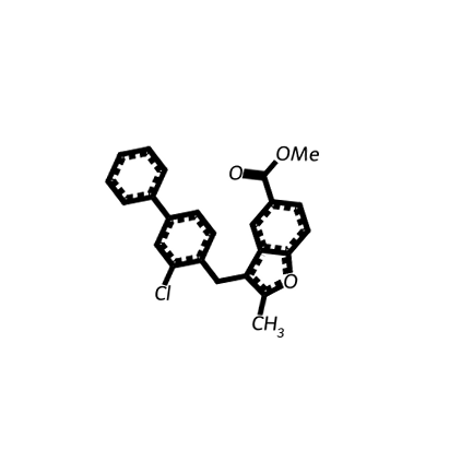 COC(=O)c1ccc2oc(C)c(Cc3ccc(-c4ccccc4)cc3Cl)c2c1